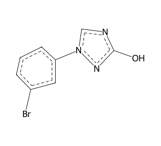 Oc1ncn(-c2cccc(Br)c2)n1